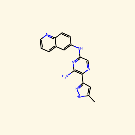 Cc1cc(-c2ncc(Nc3ccc4ncccc4c3)nc2N)n[nH]1